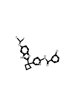 O=C(Nc1ccc(C2(c3nc4ccc(OC(F)F)cc4[nH]3)CCC2)cn1)c1cccc(Cl)c1